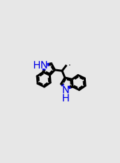 [CH2]C(c1c[nH]c2ccccc12)c1c[nH]c2ccccc12